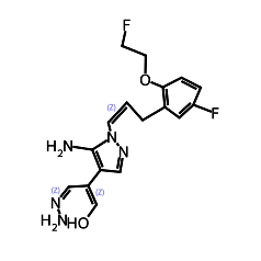 N/N=C\C(=C/O)c1cnn(/C=C\Cc2cc(F)ccc2OCCF)c1N